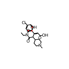 CCN(C(=O)C(/C(=C\C(=O)O)C(=O)O)C1CCN(C)CC1)c1cccc(Cl)c1